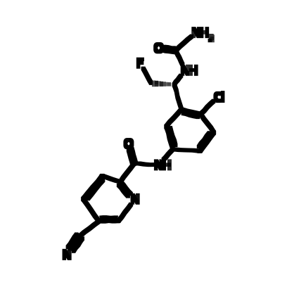 N#Cc1ccc(C(=O)Nc2ccc(Cl)c([C@H](CF)NC(N)=O)c2)nc1